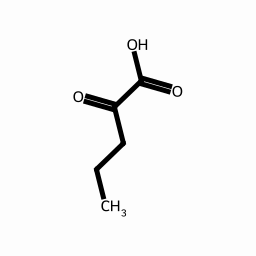 CCCC(=O)C(=O)O